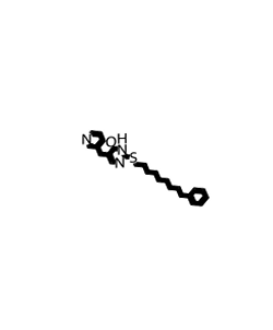 O=c1[nH]c(SCCCCCCCCCc2ccccc2)ncc1Cc1cccnc1